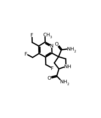 Cc1nc(C2(C(N)=O)CNC(C(N)=O)C2)c(CF)c(CF)c1CF